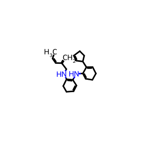 C=C(/C=C\C)CNC1=C(NC2=CCCC=C2C2C=CCC2)C=CCC1